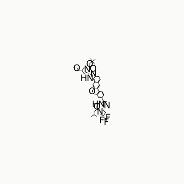 COC[C@H]1C[C@@H](c2nc3ccc4cc5c(cc4c3[nH]2)OCc2cc(-c3cnc([C@@H]4C[C@H](C(F)(F)F)CN4C(=O)[C@@H](C)C(C)C)[nH]3)ccc2-5)N(C(=O)OC(C)(C)C)C1